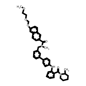 COCCOCOc1ccc2cc(C(=O)N(C)Cc3cccc(-c4ccc(Nc5ccccc5C(=O)N5CCCCC5C)cc4)c3)ccc2c1